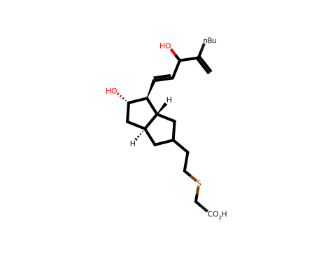 C=C(CCCC)C(O)C=C[C@H]1[C@@H]2CC(CCSCC(=O)O)C[C@H]2C[C@@H]1O